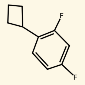 Fc1ccc(C2CCC2)c(F)c1